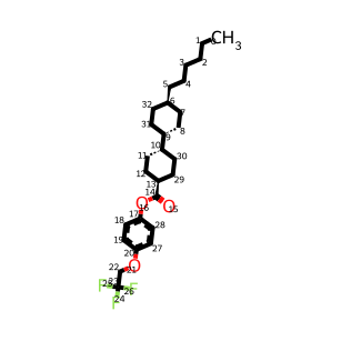 CCCCCC[C@H]1CC[C@H]([C@H]2CC[C@H](C(=O)Oc3ccc(OCC(F)(F)F)cc3)CC2)CC1